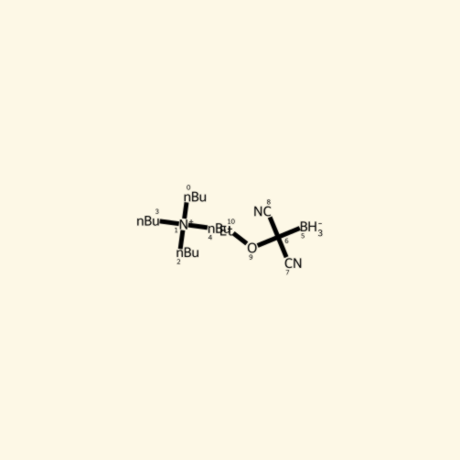 CCCC[N+](CCCC)(CCCC)CCCC.[BH3-]C(C#N)(C#N)OCC